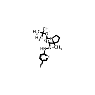 CC(C)(C)OC(=O)N1CCCC1(C)C(=O)NNc1ccc(F)cn1